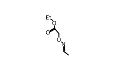 CC=NOCC(=O)OCC